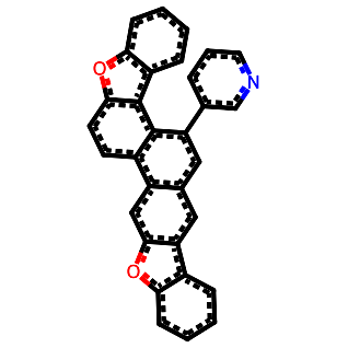 c1cncc(-c2cc3cc4c(cc3c3ccc5oc6ccccc6c5c23)oc2ccccc24)c1